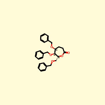 O=C1CC[C@H](OCc2ccccc2)[C@H](OCc2ccccc2)[C@@H](COCc2ccccc2)O1